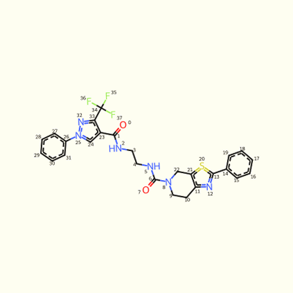 O=C(NCCNC(=O)N1CCc2nc(-c3ccccc3)sc2C1)c1cn(-c2ccccc2)nc1C(F)(F)F